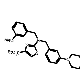 CCOC(=O)c1csc(N(Cc2cccc(OC)c2)Cc2cccc(N3CCOCC3)c2)n1